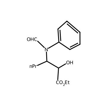 CCCC(C(O)C(=O)OCC)N(C=O)c1ccccc1